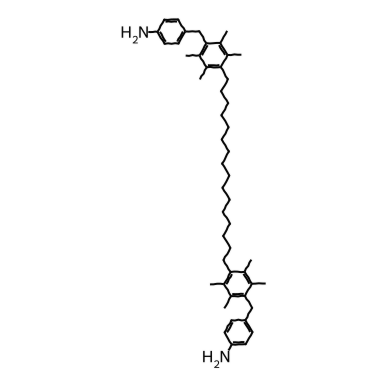 Cc1c(C)c(Cc2ccc(N)cc2)c(C)c(C)c1CCCCCCCCCCCCCCCCc1c(C)c(C)c(Cc2ccc(N)cc2)c(C)c1C